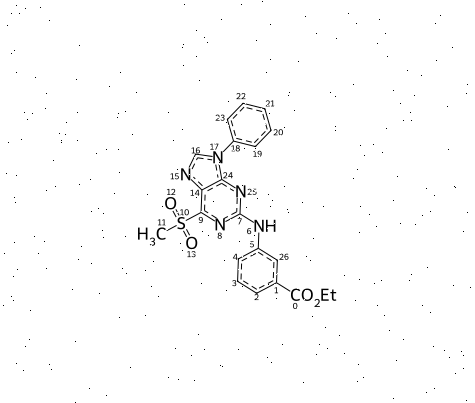 CCOC(=O)c1cccc(Nc2nc(S(C)(=O)=O)c3ncn(-c4ccccc4)c3n2)c1